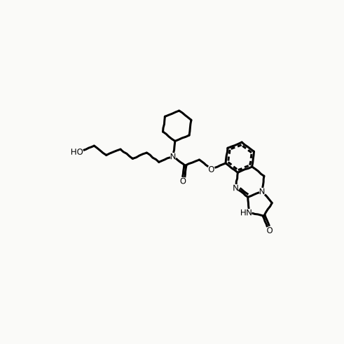 O=C1CN2Cc3cccc(OCC(=O)N(CCCCCCO)C4CCCCC4)c3N=C2N1